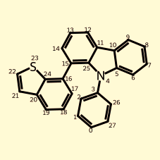 c1ccc(-n2c3ccccc3c3cccc(-c4cccc5ccsc45)c32)cc1